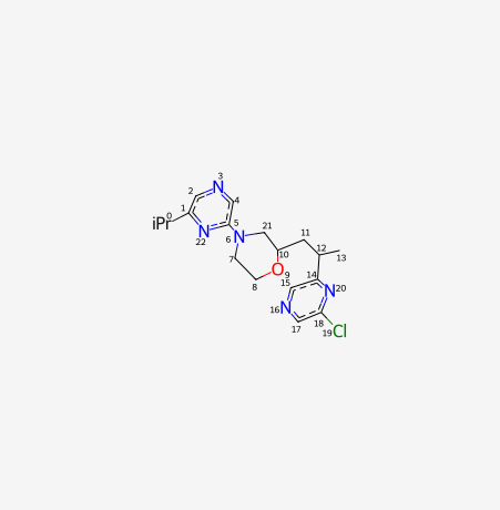 CC(C)c1cncc(N2CCOC(CC(C)c3cncc(Cl)n3)C2)n1